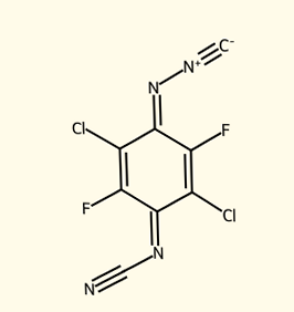 [C-]#[N+]/N=C1C(F)=C(Cl)/C(=N/C#N)C(F)=C\1Cl